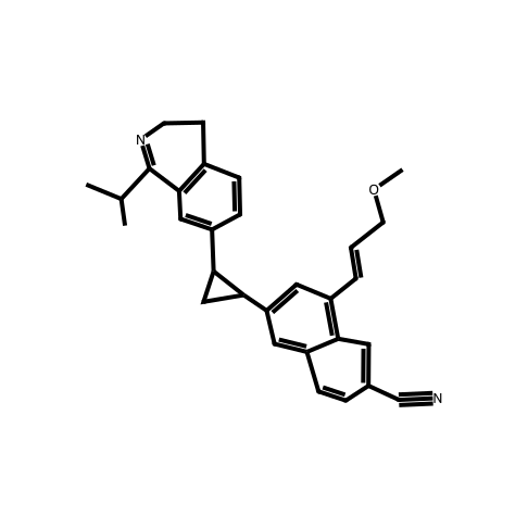 COCC=Cc1cc(C2CC2c2ccc3c(c2)C(C(C)C)=NCC3)cc2ccc(C#N)cc12